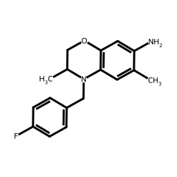 Cc1cc2c(cc1N)OCC(C)N2Cc1ccc(F)cc1